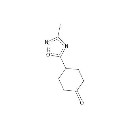 Cc1noc(C2CCC(=O)CC2)n1